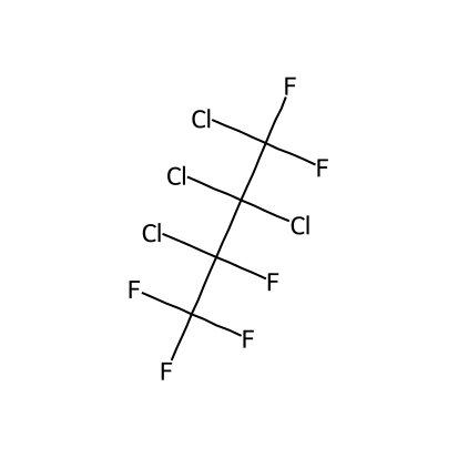 FC(F)(F)C(F)(Cl)C(Cl)(Cl)C(F)(F)Cl